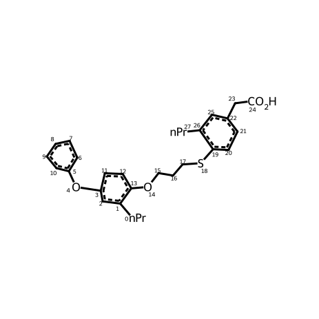 CCCc1cc(Oc2ccccc2)ccc1OCCCSc1ccc(CC(=O)O)cc1CCC